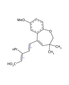 CCCC(/C=C/C1=CC(C)(C)COc2ccc(OC)cc21)=C\C(=O)O